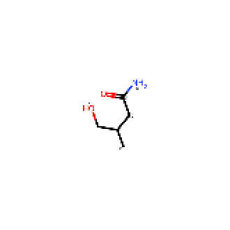 CC([CH]C(N)=O)CO